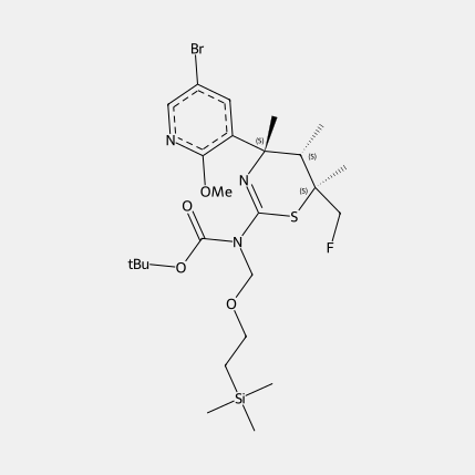 COc1ncc(Br)cc1[C@@]1(C)N=C(N(COCC[Si](C)(C)C)C(=O)OC(C)(C)C)S[C@](C)(CF)[C@H]1C